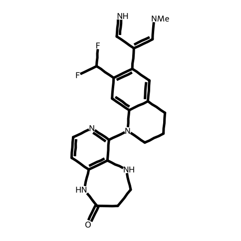 CN/C=C(\C=N)c1cc2c(cc1C(F)F)N(c1nccc3c1NCCC(=O)N3)CCC2